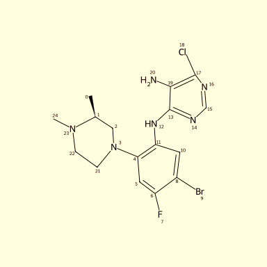 C[C@H]1CN(c2cc(F)c(Br)cc2Nc2ncnc(Cl)c2N)CCN1C